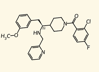 COc1cccc(C[C@H](NCc2ccccn2)C2CCN(C(=O)c3ccc(F)cc3Cl)CC2)c1